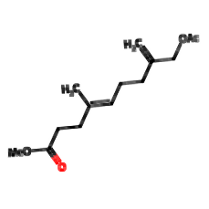 C=C(CC/C=C(\C)CCC(=O)OC)COC(C)=O